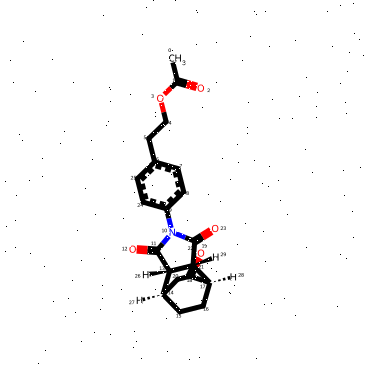 CC(=O)OCCc1ccc(N2C(=O)[C@H]3[C@@H]4CC[C@@H](C(=O)C4)[C@H]3C2=O)cc1